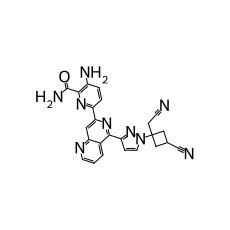 N#CCC1(n2ccc(-c3nc(-c4ccc(N)c(C(N)=O)n4)cc4ncccc34)n2)CC(C#N)C1